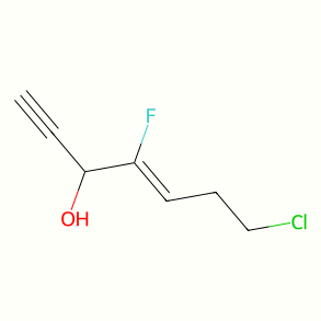 C#CC(O)C(F)=CCCCl